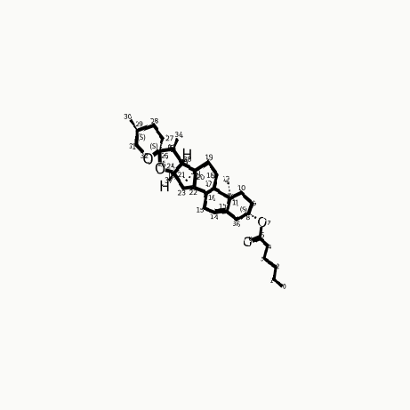 CCCCCC(=O)O[C@H]1CC[C@@]2(C)C(=CCC3C2CC[C@@]2(C)C3C[C@@H]3O[C@@]4(CC[C@H](C)CO4)[C@@H](C)[C@@H]32)C1